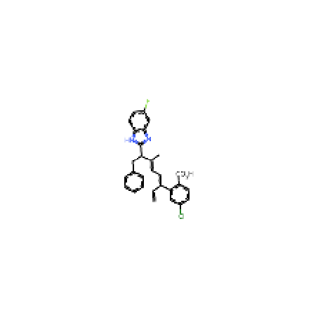 C=C/C(=C\C=C(/C)C(Cc1ccccc1)c1nc2cc(F)ccc2[nH]1)c1cc(Cl)ccc1C(=O)O